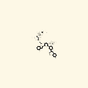 CNC(=O)c1c(-c2ccc(F)cc2)oc2cc(N(C)S(C)(=O)=O)c(-c3ccc4c(n3)-c3cc5c(F)cccc5n3C(COC(=O)[C@@H](NC(=O)OC(C)(C)C)C(C)C)O4)cc12